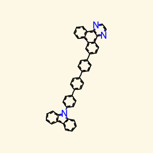 c1ccc2c(c1)c1cc(-c3ccc(-c4ccc(-c5ccc(-n6c7ccccc7c7ccccc76)cc5)cc4)cc3)ccc1c1nccnc21